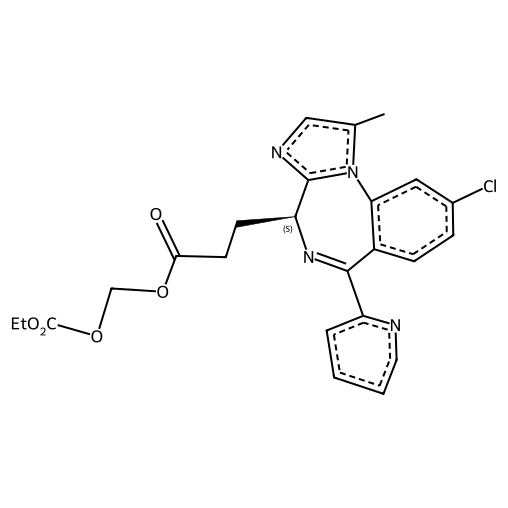 CCOC(=O)OCOC(=O)CC[C@@H]1N=C(c2ccccn2)c2ccc(Cl)cc2-n2c(C)cnc21